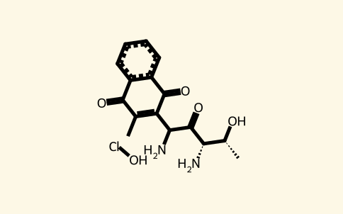 CC1=C(C(N)C(=O)[C@@H](N)[C@@H](C)O)C(=O)c2ccccc2C1=O.OCl